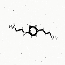 [CH2]CCCc1ccc(OCCC)cc1